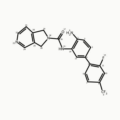 Nc1ccc(-c2ccc(C(F)(F)F)cc2F)cc1NC(=O)N1Cc2ccncc2C1